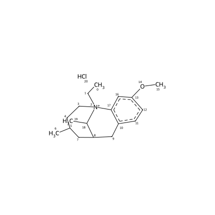 CC[N+]12CCC(C)CC(Cc3ccc(OC)cc31)C2C.Cl